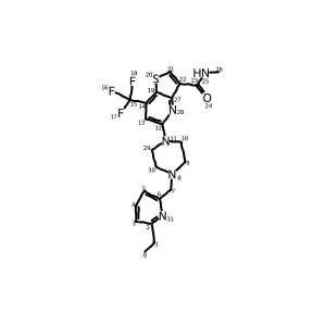 CCc1cccc(CN2CCN(c3cc(C(F)(F)F)c4scc(C(=O)NC)c4n3)CC2)n1